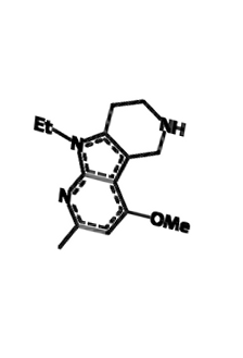 CCn1c2c(c3c(OC)cc(C)nc31)CNCC2